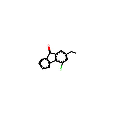 CCc1cc(Cl)c2c(c1)C(=O)c1ccccc1-2